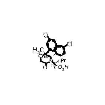 CCC[C@@H](C(=O)O)N1C(=O)CO[C@](C)(c2cccc(Cl)c2)[C@@H]1c1ccc(Cl)cc1